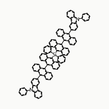 c1ccc(-n2c3ccccc3c3cc(-c4c5ccccc5c(-c5c6ccccc6c([Si](c6ccccc6)(c6ccccc6)c6c7ccccc7c(-c7c8ccccc8c(-c8ccc9c(c8)c8ccccc8n9-c8ccccc8)c8ccccc78)c7ccccc67)c6ccccc56)c5ccccc45)ccc32)cc1